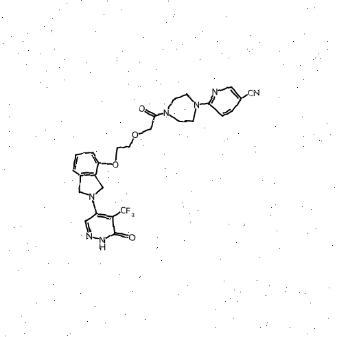 N#Cc1ccc(N2CCN(C(=O)COCCOc3cccc4c3CN(c3cn[nH]c(=O)c3C(F)(F)F)C4)CC2)nc1